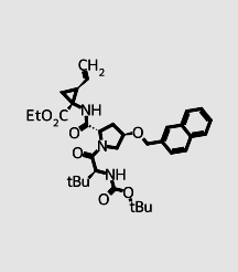 C=C[C@@H]1C[C@]1(NC(=O)[C@@H]1C[C@@H](OCc2ccc3ccccc3c2)CN1C(=O)[C@@H](NC(=O)OC(C)(C)C)C(C)(C)C)C(=O)OCC